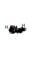 Cc1c(OC2CCC(CCC[C@H](C)N3CCN(c4cccc5c([C@@H]6CCC(=O)NC6=O)nn(C)c45)CC3)CC2)cccc1B1OC(C)(C)C(C)(C)O1